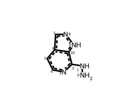 NNc1nccc2cn[nH]c12